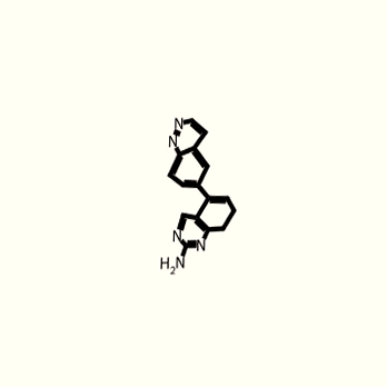 Nc1ncc2c(n1)CCC=C2c1ccc2nnccc2c1